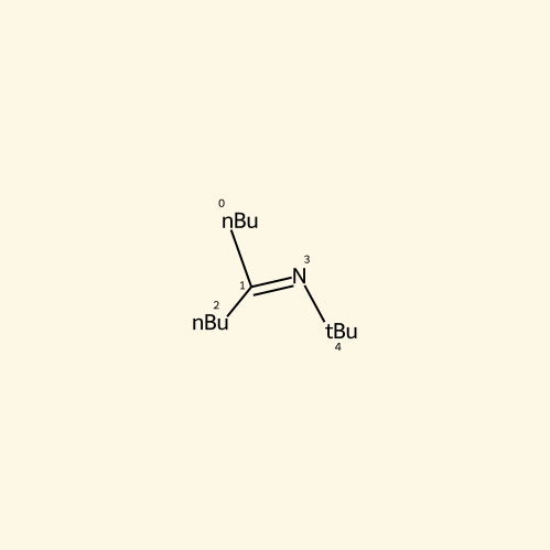 CCCCC(CCCC)=NC(C)(C)C